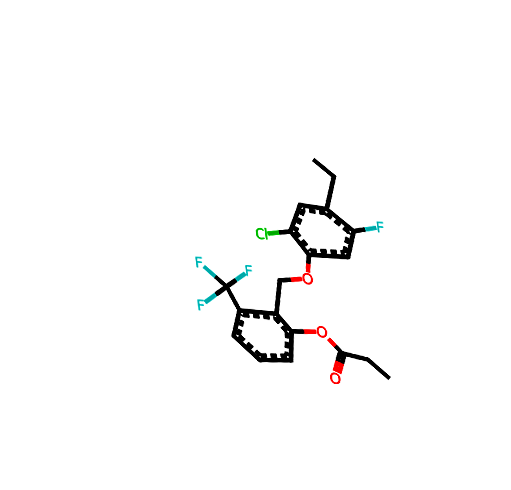 CCC(=O)Oc1cccc(C(F)(F)F)c1COc1cc(F)c(CC)cc1Cl